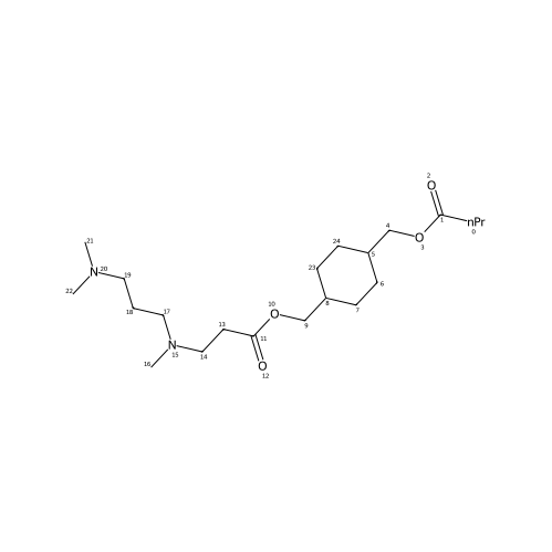 CCCC(=O)OCC1CCC(COC(=O)CCN(C)CCCN(C)C)CC1